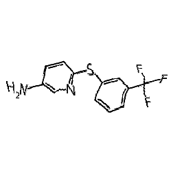 Nc1ccc(Sc2cccc(C(F)(F)F)c2)nc1